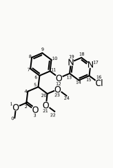 COC(=O)CC(c1ccccc1Oc1cc(Cl)ncn1)C(OC)OC